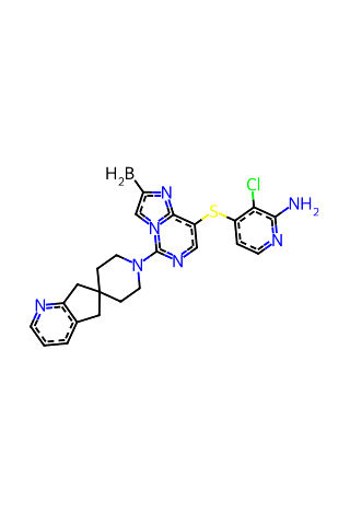 Bc1cn2c(N3CCC4(CC3)Cc3cccnc3C4)ncc(Sc3ccnc(N)c3Cl)c2n1